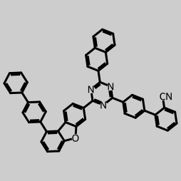 N#Cc1ccccc1-c1ccc(-c2nc(-c3ccc4ccccc4c3)nc(-c3ccc4c(c3)oc3cccc(-c5ccc(-c6ccccc6)cc5)c34)n2)cc1